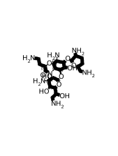 NCC[C@H](O)C(=O)N[C@@H]1C[C@H](N)C(O[C@H]2OC(CN)CCC2N)C(O)[C@H]1O[C@H]1OC(C(O)CN)[C@@H](O)[C@H](N)C1O